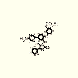 CCOC(=O)Cc1cccc(Oc2ccc(-c3cnc(N)cn3)cc2CN2C(=O)OC(c3ccccc3)C2C)c1